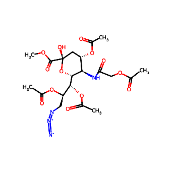 COC(=O)[C@]1(O)C[C@H](OC(C)=O)[C@@H](NC(=O)COC(C)=O)[C@H]([C@H](OC(C)=O)[C@@H](CN=[N+]=[N-])OC(C)=O)O1